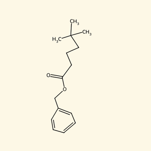 CC(C)(C)CCCC(=O)OCc1ccccc1